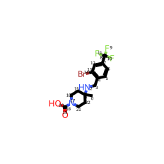 CC1(NCc2ccc(C(F)(F)F)cc2Br)CCN(C(=O)O)CC1